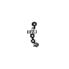 CC1CCCN1C1CCC(c2ccc(NC(=O)OCc3ccccc3)cc2)C1